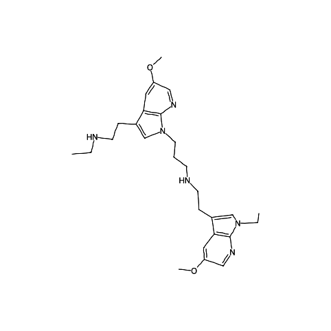 CCNCCc1cn(CCCNCCc2cn(CC)c3ncc(OC)cc23)c2ncc(OC)cc12